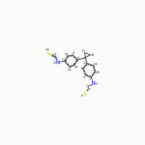 S=C=Nc1ccc(C2(c3ccc(N=C=S)cc3)CC2)cc1